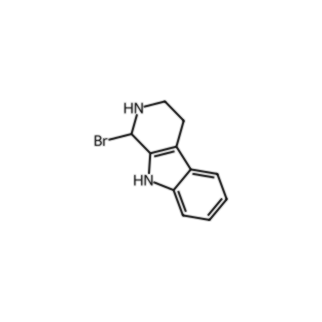 BrC1NCCc2c1[nH]c1ccccc21